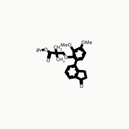 COc1ccc(-c2cccc3c2CCC3=O)c(OCC(C)(C)C(=O)OC(C)C)c1OC